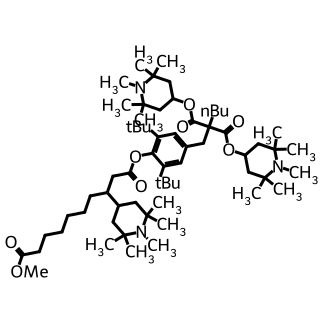 CCCCC(Cc1cc(C(C)(C)C)c(OC(=O)CC(CCCCCCC(=O)OC)C2CC(C)(C)N(C)C(C)(C)C2)c(C(C)(C)C)c1)(C(=O)OC1CC(C)(C)N(C)C(C)(C)C1)C(=O)OC1CC(C)(C)N(C)C(C)(C)C1